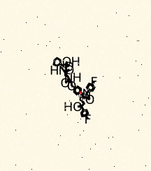 O=C(COc1ccc([C@@H]2[C@@H](SCC(O)c3ccc(F)cc3)C(=O)N2c2ccc(F)cc2)cc1)NCC(=O)N[C@@H](C(=O)O)C1CCCCC1